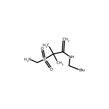 C=C(NCC(C)(C)C)C(C)(C)S(=O)(=O)CN